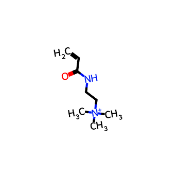 C=CC(=O)NCC[N+](C)(C)C